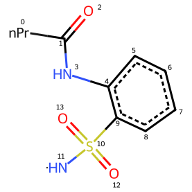 CCCC(=O)Nc1ccccc1S([NH])(=O)=O